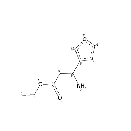 CCOC(=O)CC(N)c1ccoc1